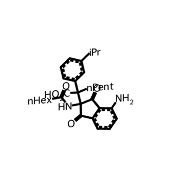 CCCCCCC(=O)NC1(C(CCCCC)(C(=O)O)c2cccc(C(C)C)c2)C(=O)c2cccc(N)c2C1=O